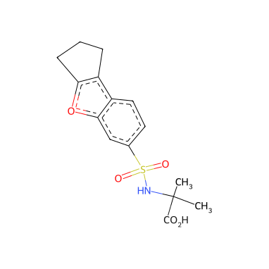 CC(C)(NS(=O)(=O)c1ccc2c3c(oc2c1)CCC3)C(=O)O